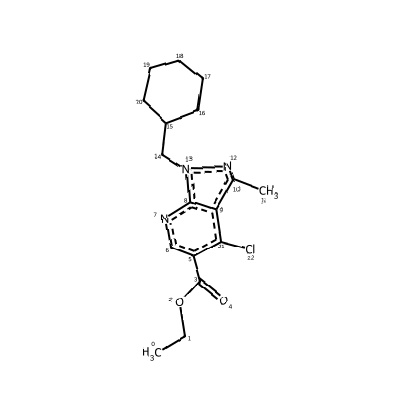 CCOC(=O)c1cnc2c(c(C)nn2CC2CCCCC2)c1Cl